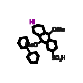 COc1c2ccccc2c(OC)c2cc(S(=O)(=O)O)ccc12.I.c1ccc(-c2ccccc2)cc1